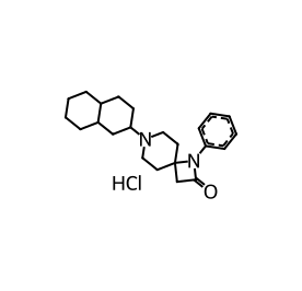 Cl.O=C1CC2(CCN(C3CCC4CCCCC4C3)CC2)N1c1ccccc1